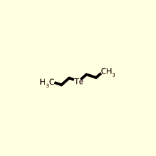 CCC[Te]CCC